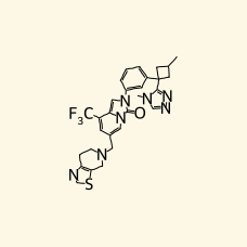 CC1CC(c2cccc(-n3cc4c(C(F)(F)F)cc(CN5CCc6ncsc6C5)cn4c3=O)c2)(c2nncn2C)C1